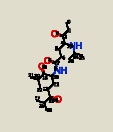 CCC(=O)C(CCC(=O)NC(CCC(=O)C(C)C)C(=O)C(C)C)NC(C)C